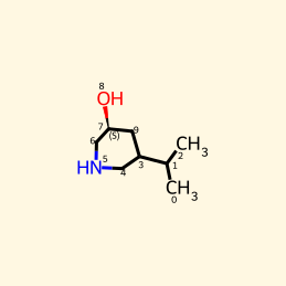 CC(C)C1CNC[C@@H](O)C1